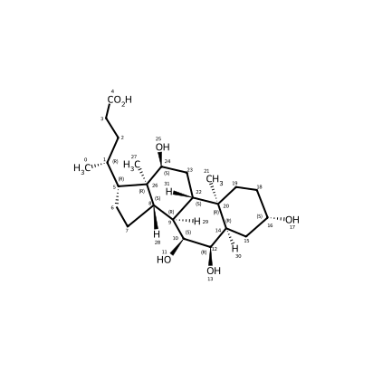 C[C@H](CCC(=O)O)[C@H]1CC[C@H]2[C@@H]3[C@H](O)[C@H](O)[C@@H]4C[C@@H](O)CC[C@]4(C)[C@H]3C[C@H](O)[C@]12C